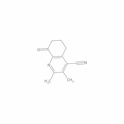 Cc1nc2c(c(C#N)c1C)CCCC2=O